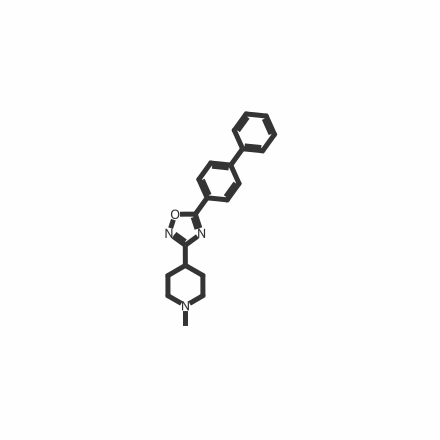 CN1CCC(c2noc(-c3ccc(-c4ccccc4)cc3)n2)CC1